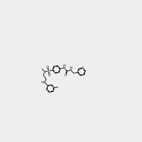 Cc1cccc(NCCN(C)S(=O)(=O)c2ccc(NC(=O)NCc3cccnc3)cc2)c1